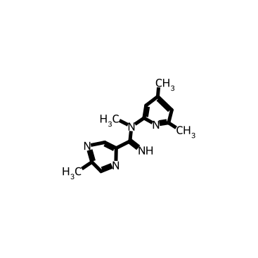 Cc1cc(C)nc(N(C)C(=N)c2cnc(C)cn2)c1